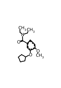 CCN(CC)C(=O)c1ccc(OC)c(OC2CCCC2)c1